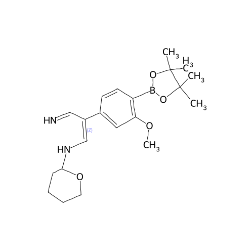 COc1cc(/C(C=N)=C/NC2CCCCO2)ccc1B1OC(C)(C)C(C)(C)O1